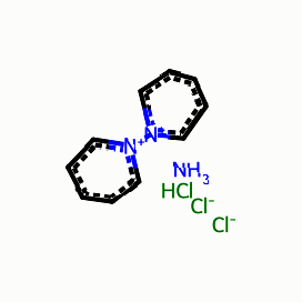 Cl.N.[Cl-].[Cl-].c1cc[n+](-[n+]2ccccc2)cc1